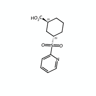 O=C(O)[C@H]1CCC[C@H](S(=O)(=O)c2ccccn2)C1